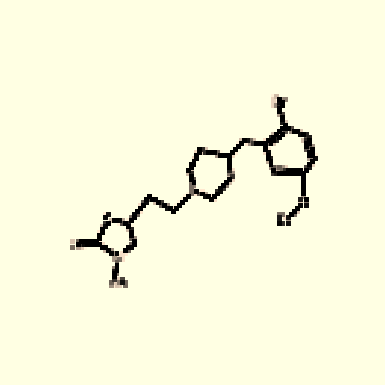 CCCN1CC(CCN2CCC(Cc3cc(OCC)ccc3Br)CC2)SC1=O